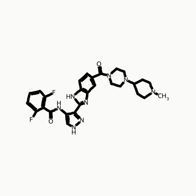 CN1CCC(N2CCN(C(=O)c3ccc4[nH]c(-c5n[nH]cc5NC(=O)c5c(F)cccc5F)nc4c3)CC2)CC1